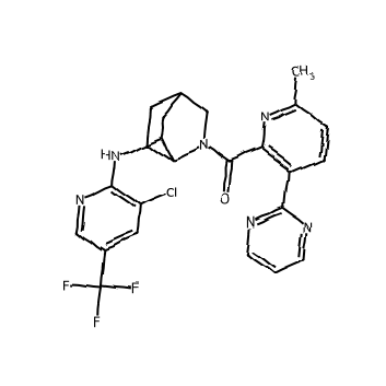 Cc1ccc(-c2ncccn2)c(C(=O)N2CC3CCC2C(Nc2ncc(C(F)(F)F)cc2Cl)C3)n1